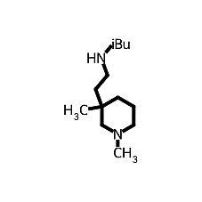 CCC(C)NCCC1(C)CCCN(C)C1